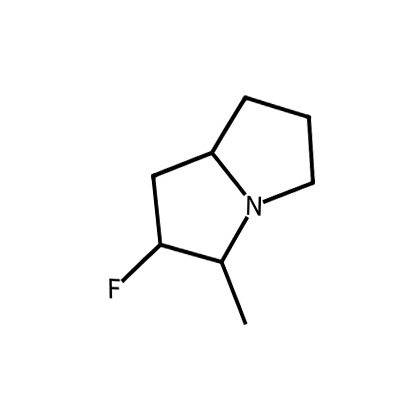 CC1C(F)CC2CCCN21